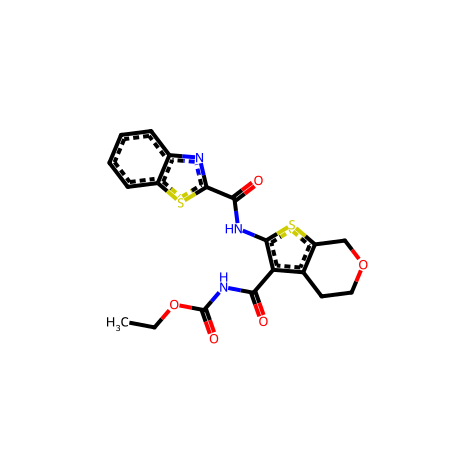 CCOC(=O)NC(=O)c1c(NC(=O)c2nc3ccccc3s2)sc2c1CCOC2